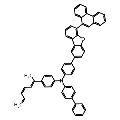 C=C/C=C\C=C(/C)c1ccc(N(c2ccc(-c3ccccc3)cc2)c2ccc(-c3ccc4oc5c(-c6cc7ccccc7c7ccccc67)cccc5c4c3)cc2)cc1